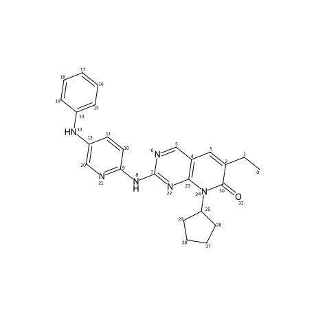 CCc1cc2cnc(Nc3ccc(Nc4ccccc4)cn3)nc2n(C2CCCC2)c1=O